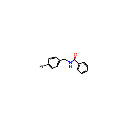 CC(C)c1ccc(CNC(=O)c2ccccc2)cc1